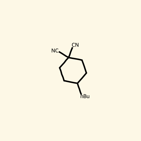 CCCCC1CCC(C#N)(C#N)CC1